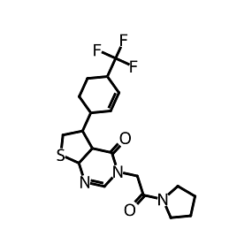 O=C1C2C(N=CN1CC(=O)N1CCCC1)SCC2C1C=CC(C(F)(F)F)CC1